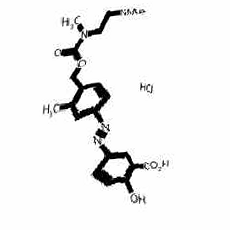 CNCCN(C)C(=O)OCc1ccc(N=Nc2ccc(O)c(C(=O)O)c2)cc1C.Cl